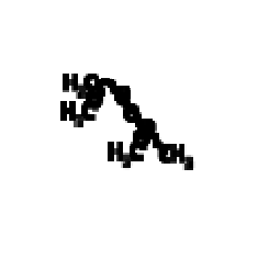 C=C(/C=C\COCCOCCOC(CCCC)OCC)COCC